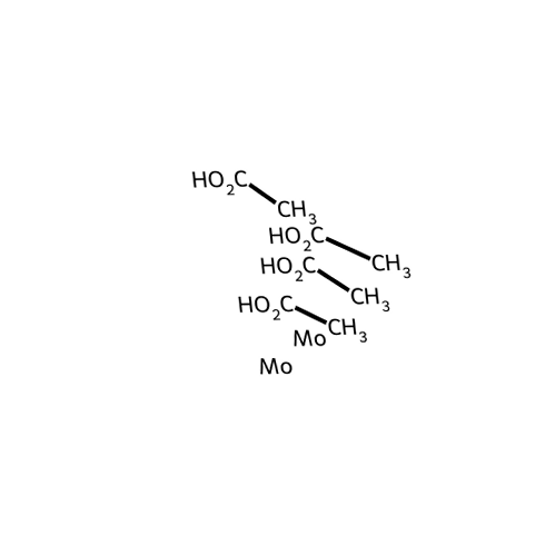 CC(=O)O.CC(=O)O.CC(=O)O.CC(=O)O.[Mo].[Mo]